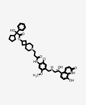 COc1cc(NC(=O)CCN2CCC3(CC2)CC(OC(=O)C(O)(c2ccccc2)C2CCCC2)C3)c(Cl)cc1CNC[C@H](O)c1ccc(O)c2[nH]c(=O)ccc12